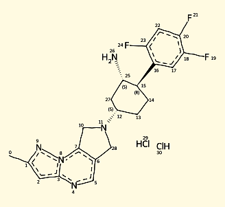 Cc1cc2ncc3c(n2n1)CN([C@H]1CC[C@H](c2cc(F)c(F)cc2F)[C@@H](N)C1)C3.Cl.Cl